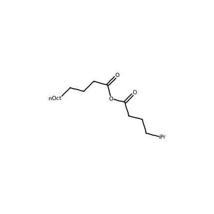 CCCCCCCCCCCC(=O)OC(=O)CCCC(C)C